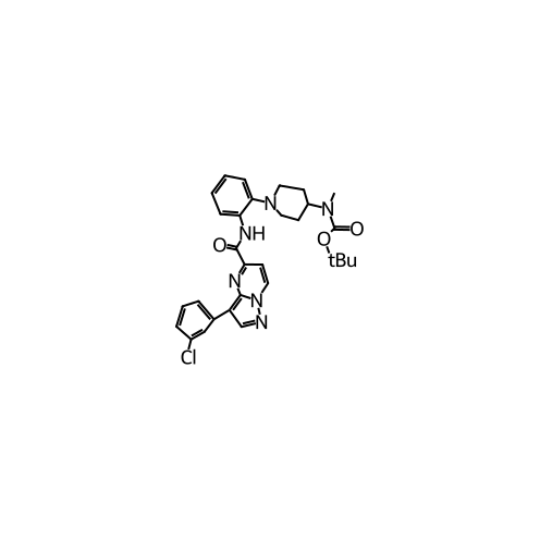 CN(C(=O)OC(C)(C)C)C1CCN(c2ccccc2NC(=O)c2ccn3ncc(-c4cccc(Cl)c4)c3n2)CC1